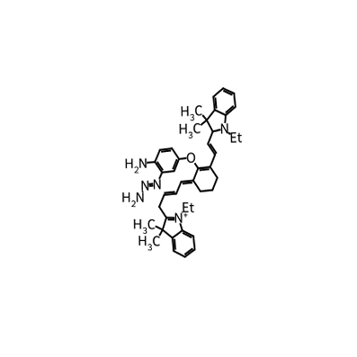 CCN1c2ccccc2C(C)(C)C1/C=C/C1=C(Oc2ccc(N)c(N=NN)c2)C(=C/C=C/CC2=[N+](CC)c3ccccc3C2(C)C)/CCC1